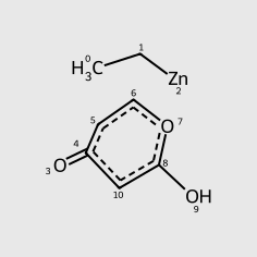 C[CH2][Zn].O=c1ccoc(O)c1